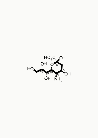 N[C@H]1[C@H]([C@H](O)[C@@H](O)CO)O[C@](O)(C(=O)O)C[C@H]1O